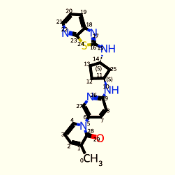 Cc1cccn(-c2ccc(N[C@H]3CC[C@H](Nc4nc5cccnc5s4)C3)nc2)c1=O